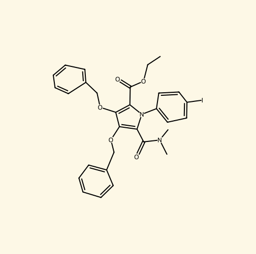 CCOC(=O)c1c(OCc2ccccc2)c(OCc2ccccc2)c(C(=O)N(C)C)n1-c1ccc(I)cc1